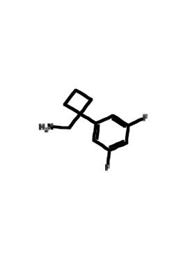 NCC1(c2cc(F)cc(F)c2)CCC1